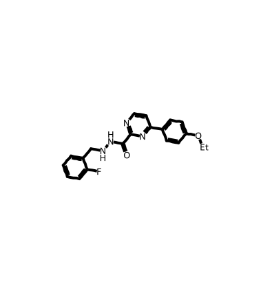 CCOc1ccc(-c2ccnc(C(=O)NNCc3ccccc3F)n2)cc1